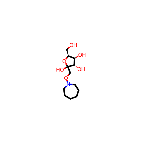 OC[C@@H]1OC(O)(CON2CCCCCC2)[C@@H](O)[C@@H]1O